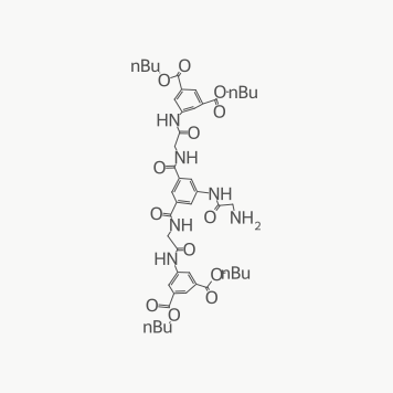 CCCCOC(=O)c1cc(NC(=O)CNC(=O)c2cc(NC(=O)CN)cc(C(=O)NCC(=O)Nc3cc(C(=O)OCCCC)cc(C(=O)OCCCC)c3)c2)cc(C(=O)OCCCC)c1